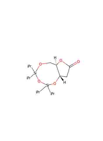 CC(C)[Si]1(C(C)C)OC[C@H]2OC(=O)C[C@@H]2O[Si](C(C)C)(C(C)C)O1